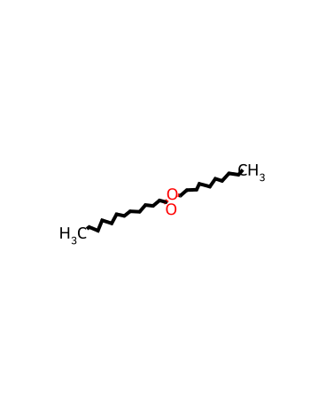 CCCCCCCCCCCCC(=O)OCCCCCCCCCC